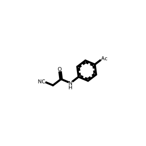 CC(=O)c1ccc(NC(=O)CC#N)cc1